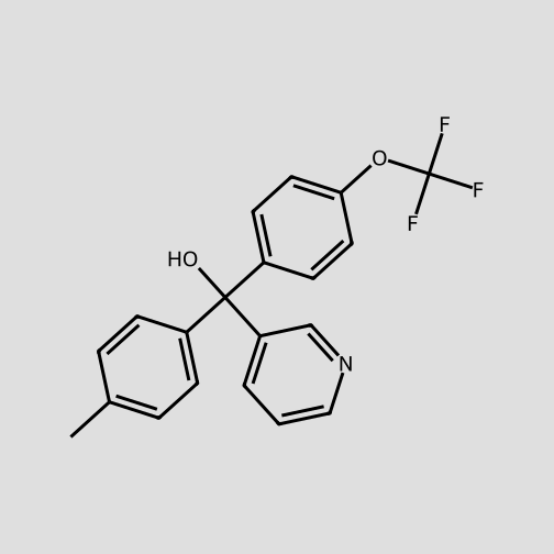 Cc1ccc(C(O)(c2ccc(OC(F)(F)F)cc2)c2cccnc2)cc1